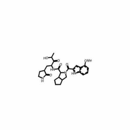 COc1cccc2[nH]c(C(=O)N3CC4CCCC4C3C(=O)NC(CC3CCNC3=O)C(=O)C(C)O)cc12